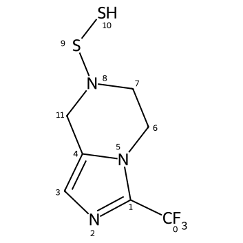 FC(F)(F)c1ncc2n1CCN(SS)C2